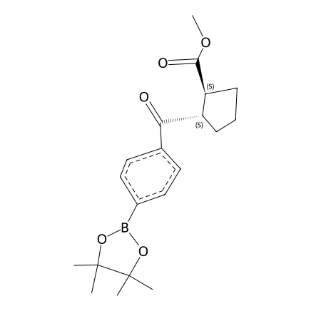 COC(=O)[C@H]1CCC[C@@H]1C(=O)c1ccc(B2OC(C)(C)C(C)(C)O2)cc1